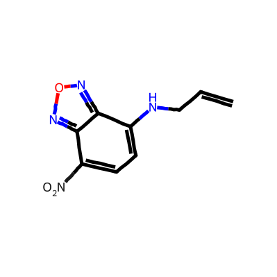 C=CCNc1ccc([N+](=O)[O-])c2nonc12